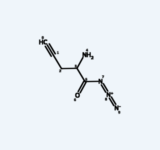 C#CCC(N)C(=O)N=[N+]=[N-]